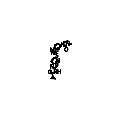 Cn1ccn(-c2ccc3nnc(Sc4ccc5nc(NC(=O)C6CC6)cn5n4)n3c2)c1=O